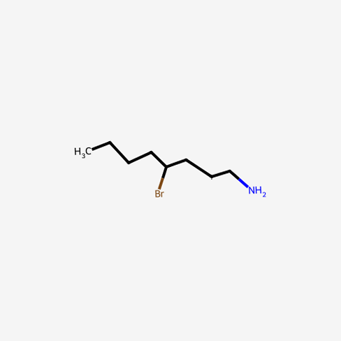 CCCCC(Br)C[CH]CN